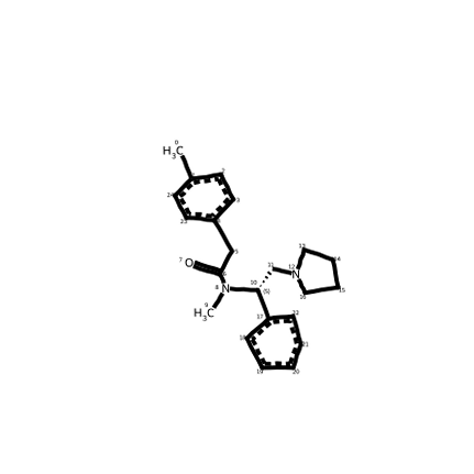 Cc1ccc(CC(=O)N(C)[C@H](CN2CCCC2)c2ccccc2)cc1